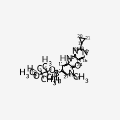 COC(C)(C)C(C)(C)OBc1cc(Nc2ccnc(C3CC3)n2)c(=O)n(C)c1